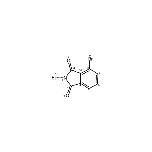 CCN1C(=O)c2cccc(Br)c2C1=O